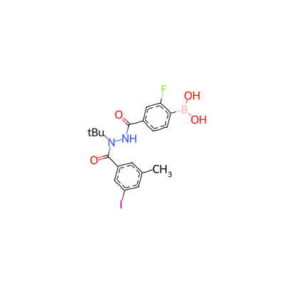 Cc1cc(I)cc(C(=O)N(NC(=O)c2ccc(B(O)O)c(F)c2)C(C)(C)C)c1